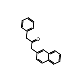 O=C(Cc1ccccc1)Cc1ccc2ccccc2c1